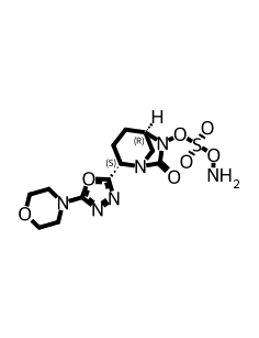 NOS(=O)(=O)ON1C(=O)N2C[C@H]1CC[C@H]2c1nnc(N2CCOCC2)o1